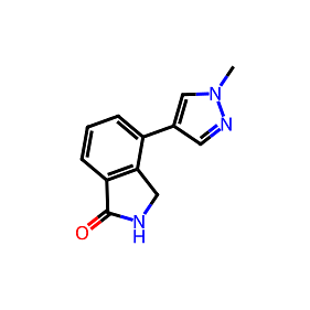 Cn1cc(-c2cccc3c2CNC3=O)cn1